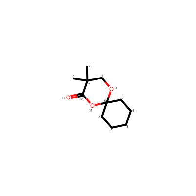 CC1(C)COC2(CCCCC2)OC1=O